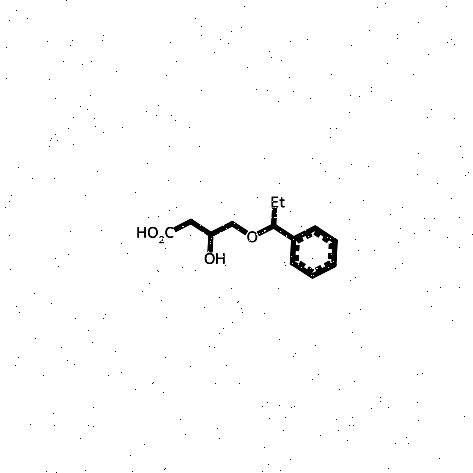 CCC(OCC(O)CC(=O)O)c1ccccc1